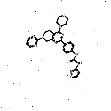 O=C(Nc1ccc(-c2nc3c(c(N4CCOCC4)n2)CCN(c2ncccn2)C3)cc1)Nc1ccon1